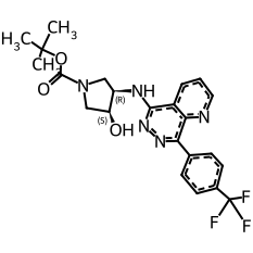 CC(C)(C)OC(=O)N1C[C@H](O)[C@H](Nc2nnc(-c3ccc(C(F)(F)F)cc3)c3ncccc23)C1